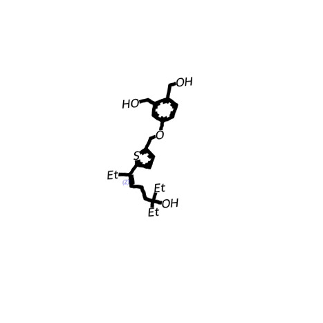 CC/C(=C/CCC(O)(CC)CC)c1ccc(COc2ccc(CO)c(CO)c2)s1